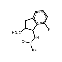 CC(C)(C)[S+]([O-])NC1c2c(F)cccc2CC1C(=O)O